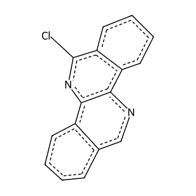 Clc1nc2c3ccccc3cnc2c2ccccc12